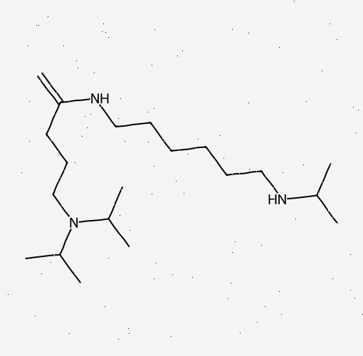 C=C(CCCN(C(C)C)C(C)C)NCCCCCCNC(C)C